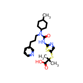 CC1CCC(N(CCCc2cccnc2)C(=O)Nc2ncc(SC(C)(C)C(=O)O)s2)CC1